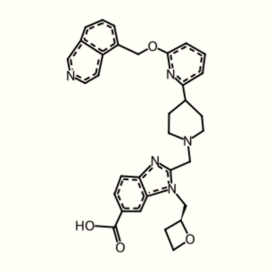 O=C(O)c1ccc2nc(CN3CCC(c4cccc(OCc5cccc6cnccc56)n4)CC3)n(C[C@@H]3CCO3)c2c1